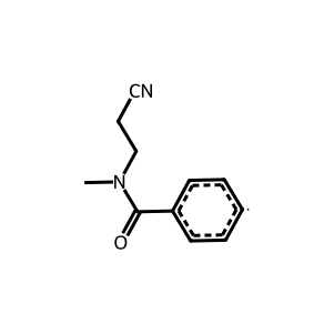 CN(CCC#N)C(=O)c1cc[c]cc1